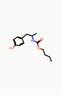 CCCCOC(=O)NC(C)Cc1ccc(O)cc1